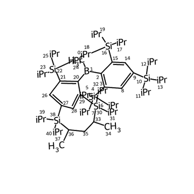 CB(c1c([Si](C(C)C)(C(C)C)C(C)C)cc([Si](C(C)C)(C(C)C)C(C)C)cc1[Si](C(C)C)(C(C)C)C(C)C)c1c([Si](C(C)C)(C(C)C)C(C)C)cc2cc1[Si](C(C)C)(C(C)C)C(C)CC(C)[Si]2(C(C)C)C(C)C